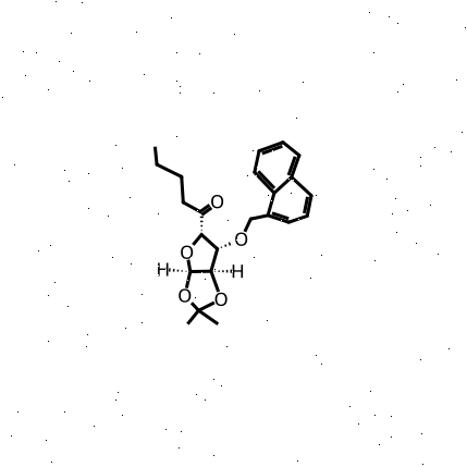 CCCCC(=O)[C@H]1O[C@@H]2OC(C)(C)O[C@@H]2[C@H]1OCc1cccc2ccccc12